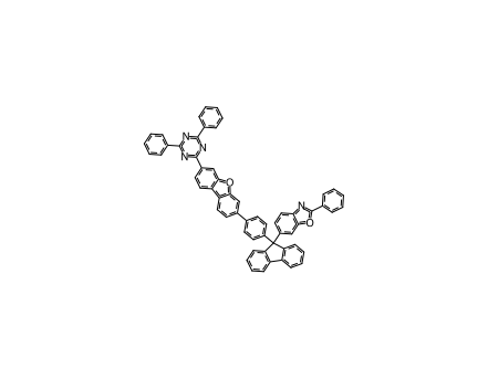 c1ccc(-c2nc(-c3ccccc3)nc(-c3ccc4c(c3)oc3cc(-c5ccc(C6(c7ccc8nc(-c9ccccc9)oc8c7)c7ccccc7-c7ccccc76)cc5)ccc34)n2)cc1